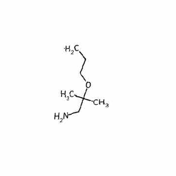 [CH2]CCOC(C)(C)CN